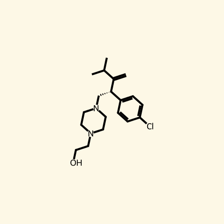 C=C(C(C)C)[C@@H](CN1CCN(CCO)CC1)c1ccc(Cl)cc1